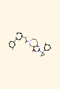 O=C(C(O)c1cccc(-c2cccc(C(F)(F)F)c2)c1)N1CCCc2nc(C3(c4cccc(F)c4)CC3)[nH]c(=O)c2C1